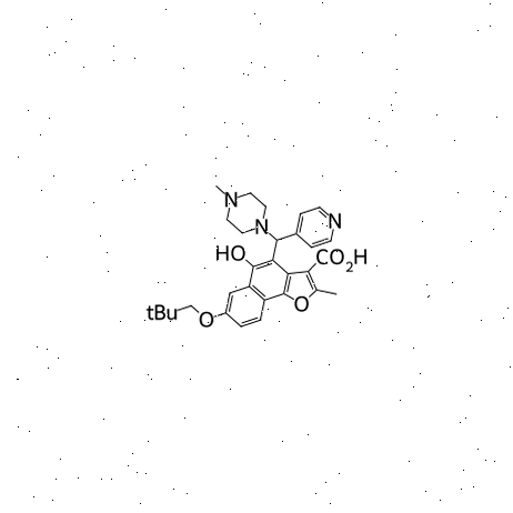 Cc1oc2c(c1C(=O)O)c(C(c1ccncc1)N1CCN(C)CC1)c(O)c1cc(OCC(C)(C)C)ccc12